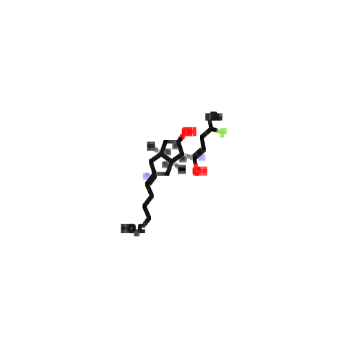 CCCCC(F)C/C=C(/O)[C@@H]1[C@H]2C/C(=C\CCCC(=O)O)C[C@H]2C[C@H]1O